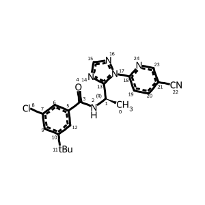 C[C@@H](NC(=O)c1cc(Cl)cc(C(C)(C)C)c1)c1ncnn1-c1ccc(C#N)cn1